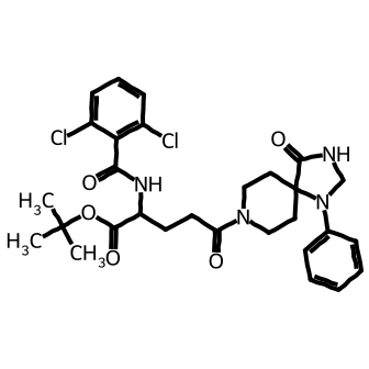 CC(C)(C)OC(=O)C(CCC(=O)N1CCC2(CC1)C(=O)NCN2c1ccccc1)NC(=O)c1c(Cl)cccc1Cl